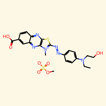 CCN(CCO)c1ccc(N=Nc2sc3nc4ccc(C(=O)O)cc4nc3[n+]2C)cc1.COS(=O)(=O)[O-]